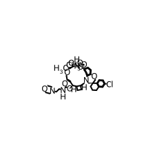 CC1(C)OC/C=C/[C@H](OC(=O)NCCN2CCOCC2)[C@@H]2CC[C@H]2CN2C[C@@]3(CCCc4cc(Cl)ccc43)COc3ccc(cc32)S(=O)(=O)NC1=O